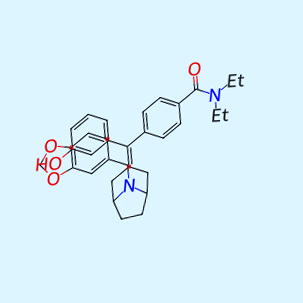 CCN(CC)C(=O)c1ccc(C(=C2CC3CCC(C2)N3Cc2ccc3c(c2)OCO3)c2cccc(O)c2)cc1